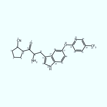 N#CC1CCCN1C(=O)C(N)Cc1c[nH]c2ccc(Oc3ccc(C(F)(F)F)cn3)cc12